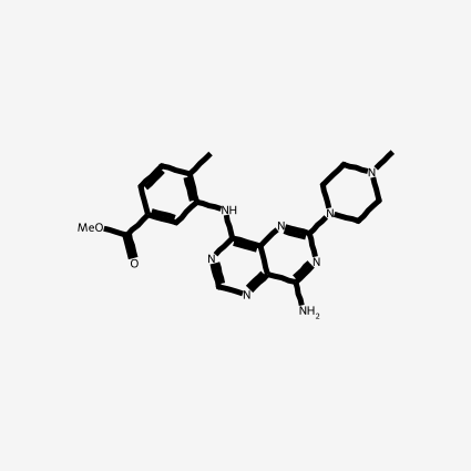 COC(=O)c1ccc(C)c(Nc2ncnc3c(N)nc(N4CCN(C)CC4)nc23)c1